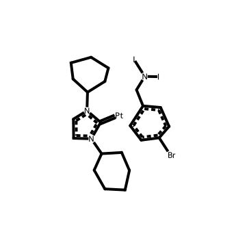 Brc1ccc(CN(I)I)cc1.[Pt]=[c]1n(C2CCCCC2)ccn1C1CCCCC1